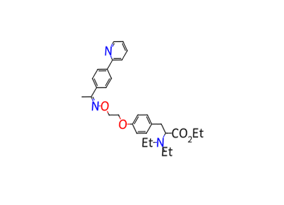 CCOC(=O)C(Cc1ccc(OCCON=C(C)c2ccc(-c3ccccn3)cc2)cc1)N(CC)CC